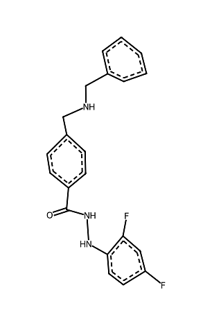 O=C(NNc1ccc(F)cc1F)c1ccc(CNCc2ccccc2)cc1